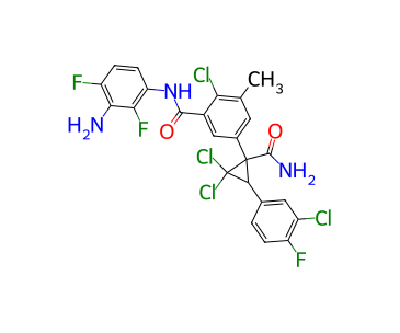 Cc1cc(C2(C(N)=O)C(c3ccc(F)c(Cl)c3)C2(Cl)Cl)cc(C(=O)Nc2ccc(F)c(N)c2F)c1Cl